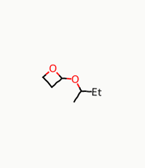 CCC(C)OC1CCO1